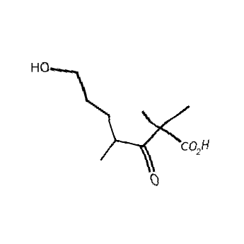 CC(CCCO)C(=O)C(C)(C)C(=O)O